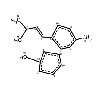 Cc1ccc(C=CC(C)O)cc1.Oc1ccccc1